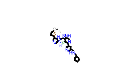 Cc1ccc(-c2cncc3[nH]c(-c4n[nH]c5cnc(-c6cncc(CNCc7ccccc7)c6)c(F)c45)nc23)s1